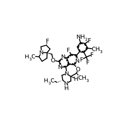 CC[C@@H]1CN2c3nc(OC[C@@]45CCC(C)N4C[C@H](F)C5)nc4c(F)c(-c5cc(N)c(F)c(C)c5C(F)(F)F)nc(c34)O[C@@H](C)[C@@H]2CN1